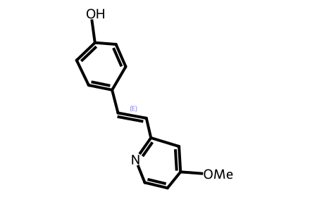 COc1ccnc(/C=C/c2ccc(O)cc2)c1